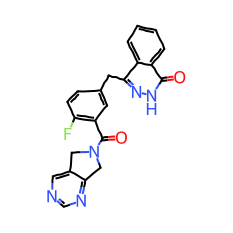 O=C(c1cc(Cc2n[nH]c(=O)c3ccccc23)ccc1F)N1Cc2cncnc2C1